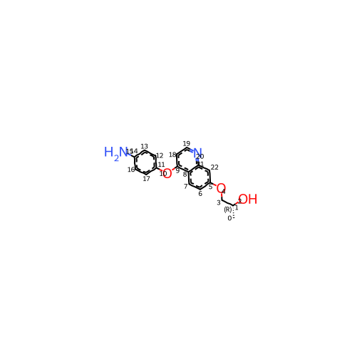 C[C@@H](O)COc1ccc2c(Oc3ccc(N)cc3)ccnc2c1